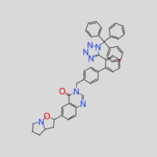 O=c1c2cc(C3CC4CCCN4O3)ccc2ncn1Cc1ccc(-c2ccccc2-c2nnnn2C(c2ccccc2)(c2ccccc2)c2ccccc2)cc1